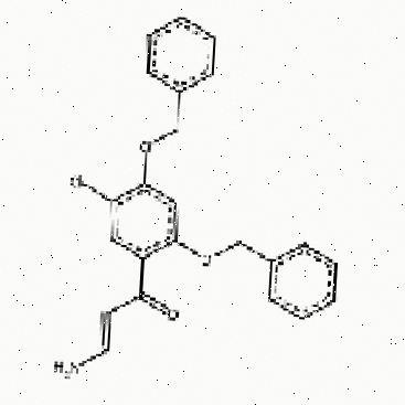 NC=CC(=O)c1cc(Cl)c(OCc2ccccc2)cc1OCc1ccccc1